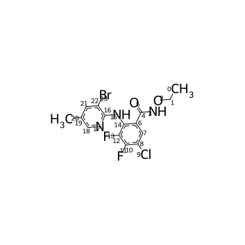 CCONC(=O)c1cc(Cl)c(F)c(F)c1Nc1ncc(C)cc1Br